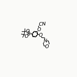 CC1(C)OB(c2ccc(OCCN3CCOCC3)c(OCC#N)c2)OC1(C)C